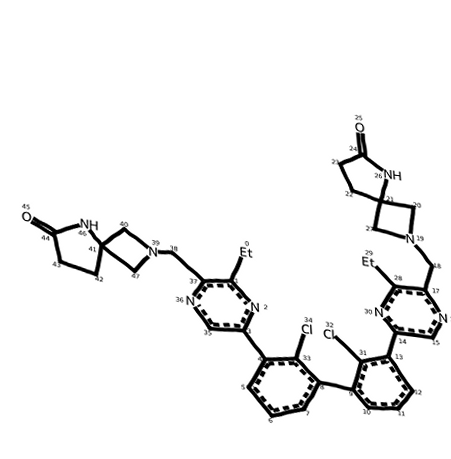 CCc1nc(-c2cccc(-c3cccc(-c4cnc(CN5CC6(CCC(=O)N6)C5)c(CC)n4)c3Cl)c2Cl)cnc1CN1CC2(CCC(=O)N2)C1